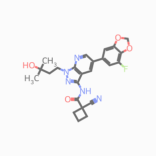 CC(C)(O)CCn1nc(NC(=O)C2(C#N)CCC2)c2cc(-c3cc(F)c4c(c3)OCO4)cnc21